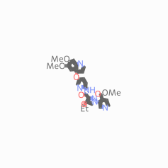 CCOc1cn(-c2cnccc2C(=O)OC)nc1C(=O)Nc1ccc(Oc2ccnc3cc(OC)c(OC)cc23)cn1